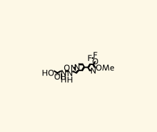 COc1ncc(-c2ccn3nc(NC(=O)NC[C@H](O)CO)cc3c2)cc1OC(F)F